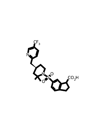 CC1(C)C[C@@H](Cc2ccc(C(F)(F)F)cn2)CCN1S(=O)(=O)c1ccc2c(c1)C(C(=O)O)CC2